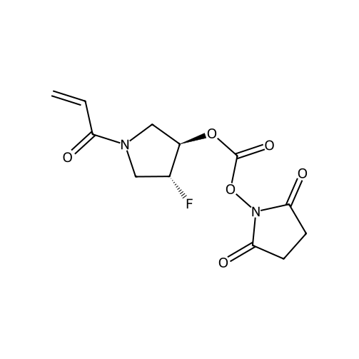 C=CC(=O)N1C[C@@H](F)[C@H](OC(=O)ON2C(=O)CCC2=O)C1